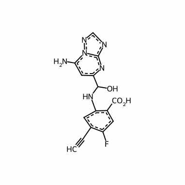 C#Cc1cc(NC(O)c2cc(N)n3ncnc3n2)c(C(=O)O)cc1F